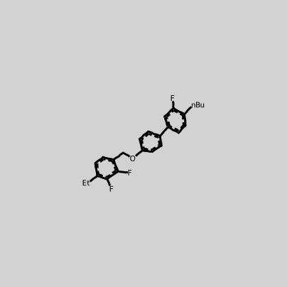 CCCCc1ccc(-c2ccc(OCc3ccc(CC)c(F)c3F)cc2)cc1F